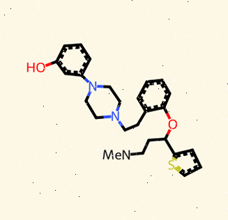 CNCCC(Oc1ccccc1CCN1CCN(c2cccc(O)c2)CC1)c1cccs1